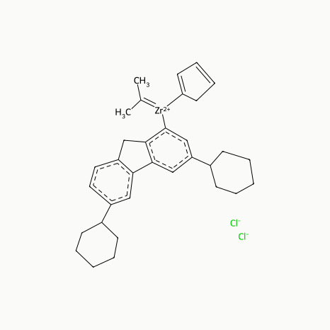 C[C](C)=[Zr+2]([C]1=CC=CC1)[c]1cc(C2CCCCC2)cc2c1Cc1ccc(C3CCCCC3)cc1-2.[Cl-].[Cl-]